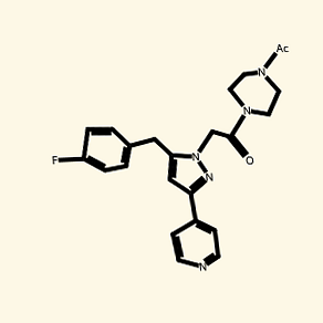 CC(=O)N1CCN(C(=O)Cn2nc(-c3ccncc3)cc2Cc2ccc(F)cc2)CC1